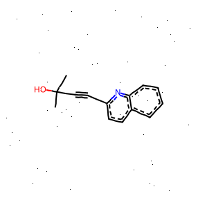 CC(C)(O)C#Cc1ccc2ccccc2n1